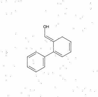 OC=C1CC=CC=C1c1[c]cccc1